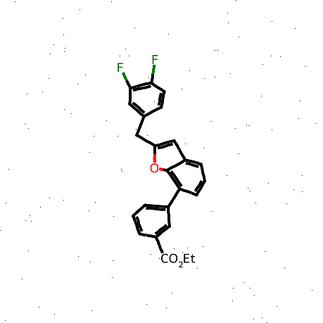 CCOC(=O)c1cccc(-c2cccc3cc(Cc4ccc(F)c(F)c4)oc23)c1